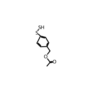 CC(=O)OCc1ccc(SS)cc1